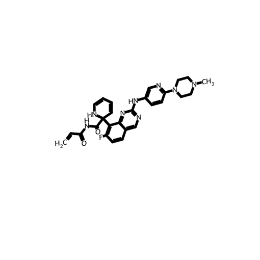 C=CC(=O)NC(=O)C1(c2c(F)ccc3cnc(Nc4ccc(N5CCN(C)CC5)nc4)nc23)C=CC=CN1